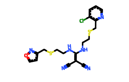 N#CC(C#N)=C(NCCSCc1ccon1)NCCSCc1ncccc1Cl